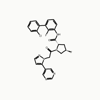 O=C(Nc1cccc(-c2ccccc2Cl)c1F)[C@@H]1C[C@@H](F)CN1C(=O)Cn1nccc1-c1cncnc1